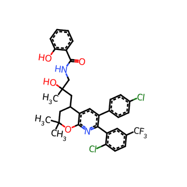 CC(O)(CNC(=O)c1ccccc1O)CC1CC(C)(C)Oc2nc(-c3cc(C(F)(F)F)ccc3Cl)c(-c3ccc(Cl)cc3)cc21